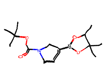 CC1OB(C2=CCN(C(=O)OC(C)(C)C)C2)OC1(C)C